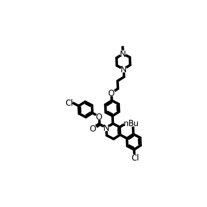 CCCCC1=C(c2cc(Cl)ccc2C)CCN(C(=O)Oc2ccc(Cl)cc2)C1c1ccc(OCCCN2CCN(C)CC2)cc1